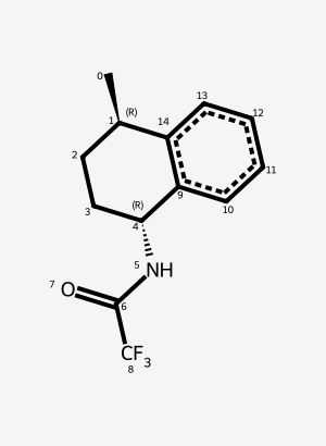 C[C@@H]1CC[C@@H](NC(=O)C(F)(F)F)c2ccccc21